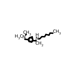 C=C(NCCCCCCCC)c1ccc(CN(C)CC)cc1